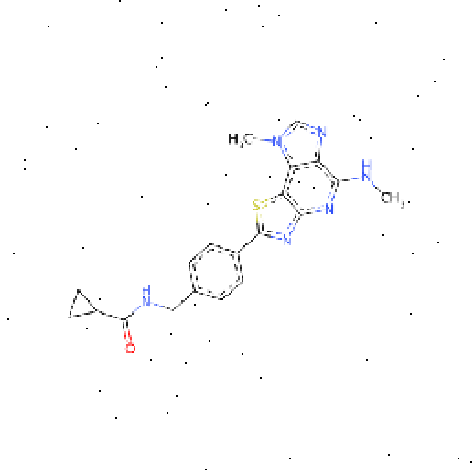 CNc1nc2nc(-c3ccc(CNC(=O)C4CC4)cc3)sc2c2c1ncn2C